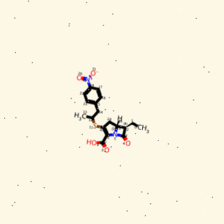 CC[C@H]1C(=O)N2C(C(=O)O)=C(SC(C)Cc3ccc([N+](=O)[O-])cc3)C[C@H]12